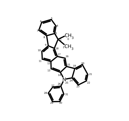 CC1(C)c2ccccc2-c2ccc3cc4c(cc3c21)c1ccccc1n4-c1ccccc1